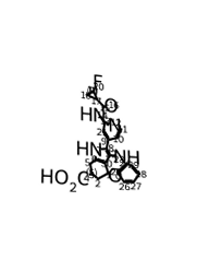 O=C1C[C@@H](C(=O)O)Cc2[nH]c(-c3ccnc(NC(=O)C4C[C@H]4F)c3)c(Nc3ccccc3)c21